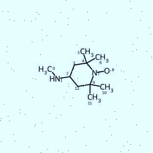 CNC1CC(C)(C)N([O])C(C)(C)C1